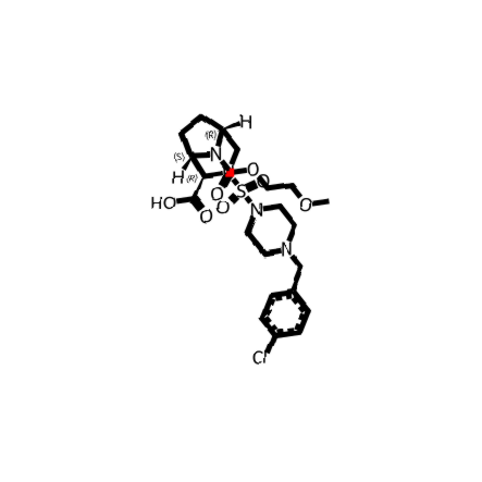 COCCOC(=O)N1[C@@H]2CC[C@H]1[C@H](C(=O)O)N(S(=O)(=O)N1CCN(Cc3ccc(Cl)cc3)CC1)C2